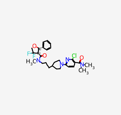 CN(C)C(=O)c1ccc(N2CCC(CCCN(C)C(=O)[C@@H]3[C@@H](c4ccccc4)OCC3(F)F)CC2)nc1Cl